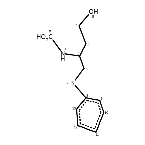 O=C(O)NC(CCO)CSc1ccccc1